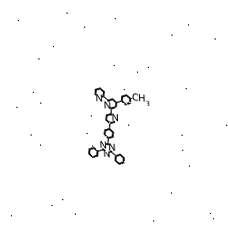 Cc1ccc(-c2cc(-c3ccccn3)nc(-c3ccc(-c4ccc(-c5nc(-c6ccccc6)nc(-c6ccccc6)n5)cc4)cn3)c2)cc1